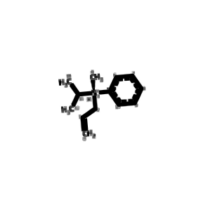 C=CC[N@@+](C)(c1ccccc1)C(C)C